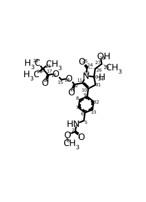 COC(=O)NCc1ccc(C2=C(C(=O)OCOC(=O)C(C)(C)C)N3C(=O)[C@H]([C@@H](C)O)[C@H]3C2)cc1